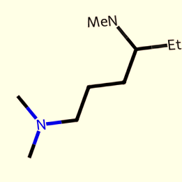 CCC(CCCN(C)C)NC